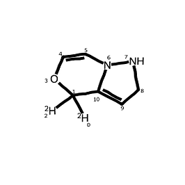 [2H]C1([2H])OC=CN2NCC=C21